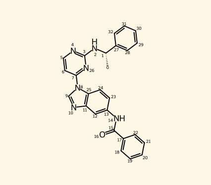 C[C@H](Nc1nccc(-n2cnc3cc(NC(=O)c4ccccc4)ccc32)n1)c1ccccc1